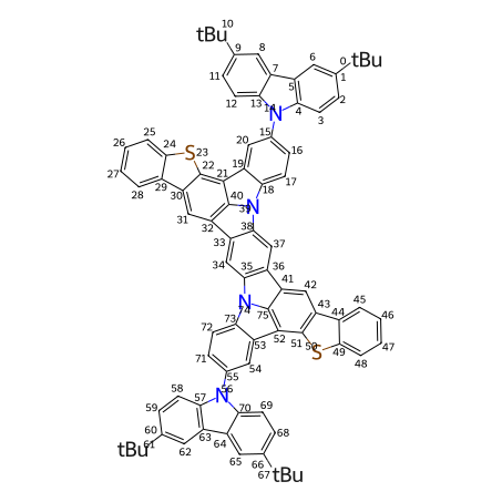 CC(C)(C)c1ccc2c(c1)c1cc(C(C)(C)C)ccc1n2-c1ccc2c(c1)c1c3sc4ccccc4c3cc3c4cc5c(cc4n2c31)c1cc2c3ccccc3sc2c2c3cc(-n4c6ccc(C(C)(C)C)cc6c6cc(C(C)(C)C)ccc64)ccc3n5c12